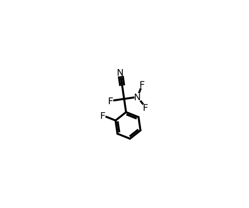 N#CC(F)(c1ccccc1F)N(F)F